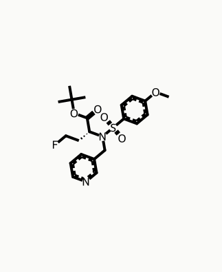 COc1ccc(S(=O)(=O)N(Cc2cccnc2)[C@H](CCF)C(=O)OC(C)(C)C)cc1